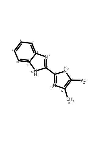 CC(=O)c1[nH]c(-c2nc3ccccc3[nH]2)nc1C